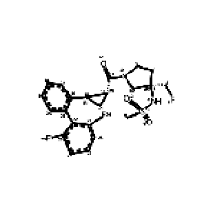 CS(=O)(=O)N[C@]1(CF)CCN(C(=O)[C@@H]2C[C@H]2c2ccccc2-c2c(F)cccc2F)C1